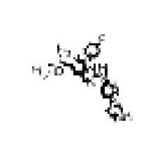 COC(C)c1cc2cnc(Nc3ccc(N4CCNCC4)nn3)nc2c(N2CCC(F)CC2)n1